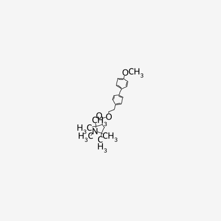 COc1ccc(-c2ccc(CCOC(=O)C3CC(C)(C)N(C)C3(C)C)cc2)cc1